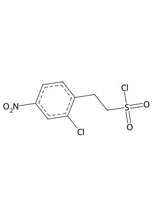 O=[N+]([O-])c1ccc(CCS(=O)(=O)Cl)c(Cl)c1